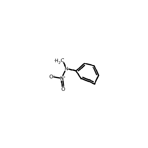 [CH2]N(c1ccccc1)[N+](=O)[O-]